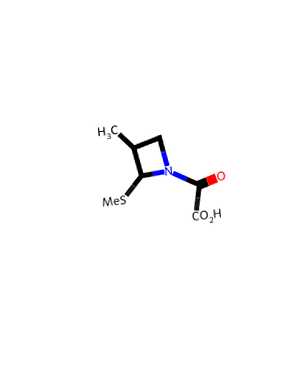 CSC1C(C)CN1C(=O)C(=O)O